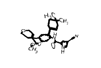 COC(=O)C1(c2ccc(NC(=O)c3cc(C#N)c[nH]3)c(C3=CCC(C)(C)CC3)c2)CCOCC1